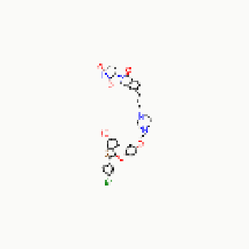 O=C1CCC(N2Cc3cc(CCCCN4CCCN(CCOc5ccc(Oc6c(-c7ccc(Br)cc7)sc7cc(O)ccc67)cc5)CC4)ccc3C2=O)C(=O)N1